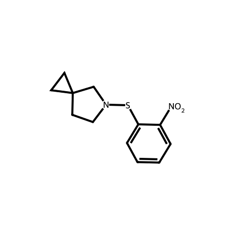 O=[N+]([O-])c1ccccc1SN1CCC2(CC2)C1